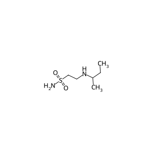 CCC(C)NCCS(N)(=O)=O